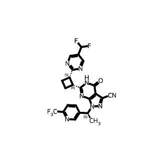 C[C@@H](c1ccc(C(F)(F)F)nc1)n1nc(C#N)c2c(=O)[nH]c([C@@H]3CC[C@@H]3c3ncc(C(F)F)cn3)nc21